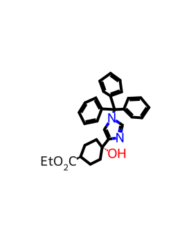 CCOC(=O)[C@H]1CC[C@@](O)(c2cn(C(c3ccccc3)(c3ccccc3)c3ccccc3)cn2)CC1